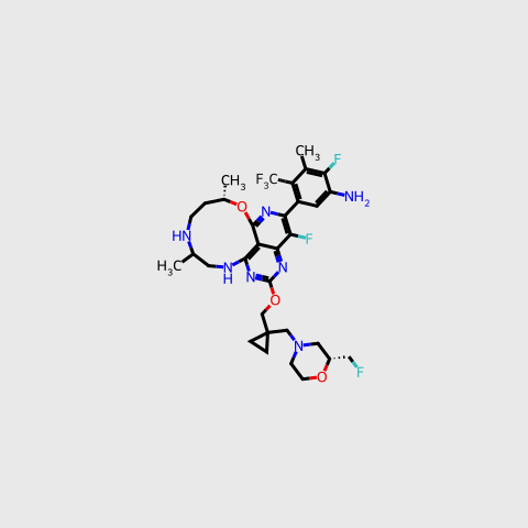 Cc1c(F)c(N)cc(-c2nc3c4c(nc(OCC5(CN6CCO[C@@H](CF)C6)CC5)nc4c2F)NCC(C)NCC[C@H](C)O3)c1C(F)(F)F